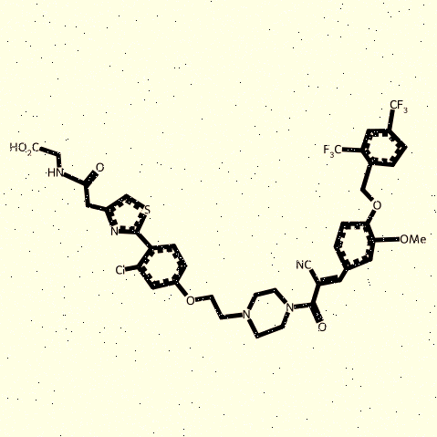 COc1cc(/C=C(\C#N)C(=O)N2CCN(CCOc3ccc(-c4nc(CC(=O)NCC(=O)O)cs4)c(Cl)c3)CC2)ccc1OCc1ccc(C(F)(F)F)cc1C(F)(F)F